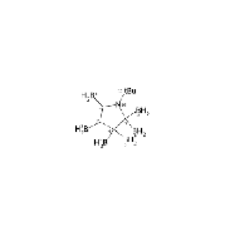 BC1C(B)C(B)(B)C(B)(B)N1C(C)(C)C